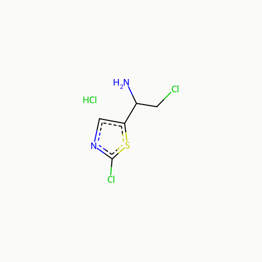 Cl.NC(CCl)c1cnc(Cl)s1